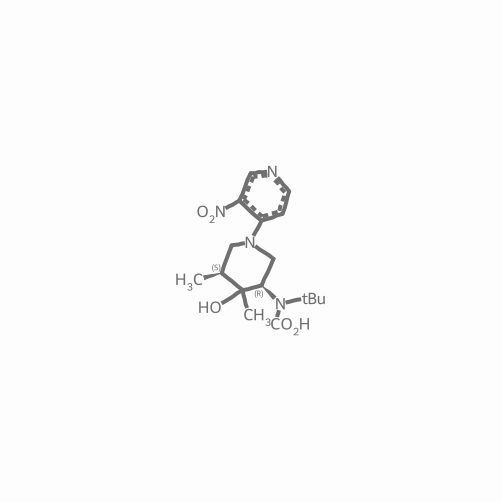 C[C@H]1CN(c2ccncc2[N+](=O)[O-])C[C@@H](N(C(=O)O)C(C)(C)C)C1(C)O